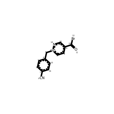 N#Cc1ccc(C[n+]2ccc(C(=O)Br)cn2)cc1